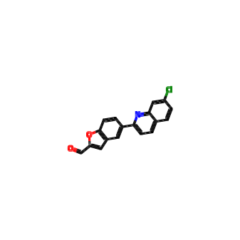 O=Cc1cc2cc(-c3ccc4ccc(Cl)cc4n3)ccc2o1